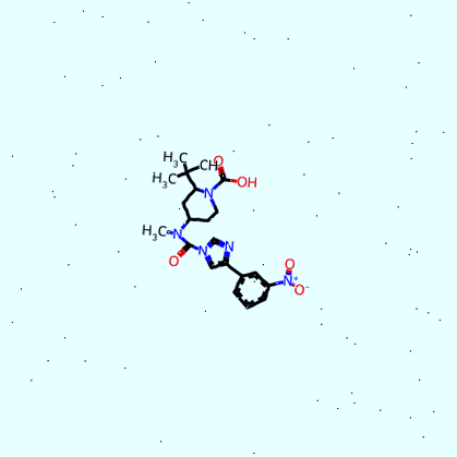 CN(C(=O)n1cnc(-c2cccc([N+](=O)[O-])c2)c1)C1CCN(C(=O)O)C(C(C)(C)C)C1